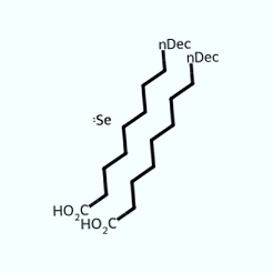 CCCCCCCCCCCCCCCCCC(=O)O.CCCCCCCCCCCCCCCCCC(=O)O.[Se]